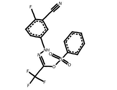 N#Cc1cc(NN=C(OS(=O)(=O)c2ccccc2)C(F)(F)F)ccc1F